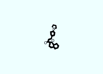 O=c1cc(-c2ccc(N3CCCC3)cc2)oc2c1ccc1ccccc12